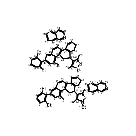 CCc1cccc(CC)c1-c1cc(C)c2c3c(ccc2c1)C1=C(CCC=C1)C(c1c(C)nn(CC)c1C)C3.CCc1cccc(CC)c1-c1cc(C)c2c3c(ccc2c1)C1=C(CCC=C1)C(c1c(C)nn(CC)c1C)C3.c1cnc2ccncc2c1.c1cnc2ccncc2c1